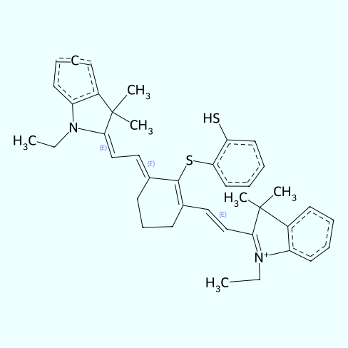 CCN1/C(=C/C=C2\CCCC(/C=C/C3=[N+](CC)c4ccccc4C3(C)C)=C2Sc2ccccc2S)C(C)(C)c2ccccc21